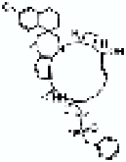 O=C1NS(=O)(=O)[C@@H](CCS(=O)(=O)Cc2ccccc2)CC/C=C/[C@H](O)[C@@H]2CC[C@H]2CN2C[C@@]3(CCCc4cc(Cl)ccc43)COc3ccc1cc32